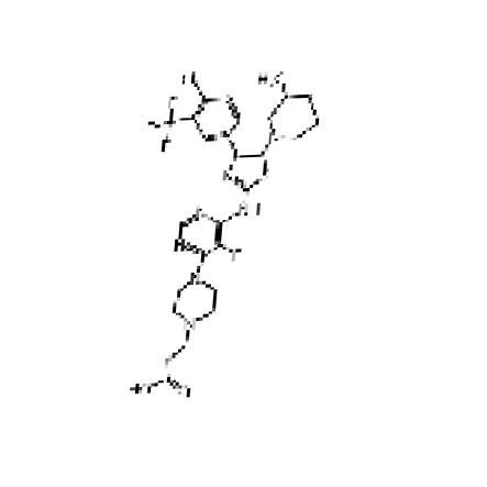 C[C@H]1CCCN(c2sc(Nc3ncnc(N4CCN(CCC(=O)O)CC4)c3F)nc2-c2ccc(Cl)c(C(F)(F)F)c2)C1